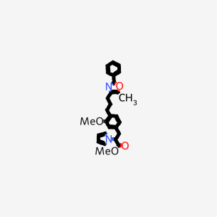 COC(=O)C(Cc1ccc(CCCc2nc(-c3ccccc3)oc2C)c(OC)c1)n1cccc1